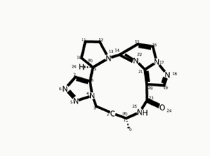 C[C@@H]1CCn2nncc2[C@H]2CCCN2c2ccn3ncc(c3n2)C(=O)N1